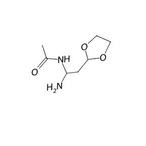 CC(=O)NC(N)CC1OCCO1